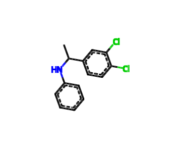 CC(Nc1ccccc1)c1ccc(Cl)c(Cl)c1